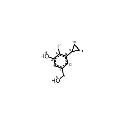 OCc1cc(O)c(I)c(C2CC2)c1